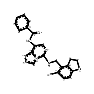 O=C(Nc1cnc(NCc2c(F)ccc3c2CCO3)n2cnnc12)c1ccccc1